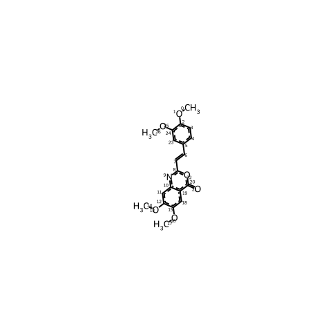 COc1ccc(/C=C/c2nc3cc(OC)c(OC)cc3c(=O)o2)cc1OC